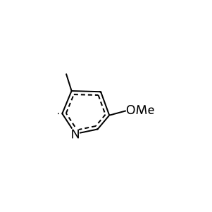 COc1cn[c]c(C)c1